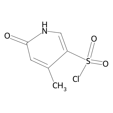 Cc1cc(=O)[nH]cc1S(=O)(=O)Cl